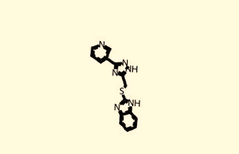 c1cncc(-c2n[nH]c(CSc3nc4ccccc4[nH]3)n2)c1